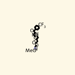 CO/N=C/OC(=O)Cc1cn2nc(C(=O)c3ccc(C(F)(F)F)cc3)nc2s1